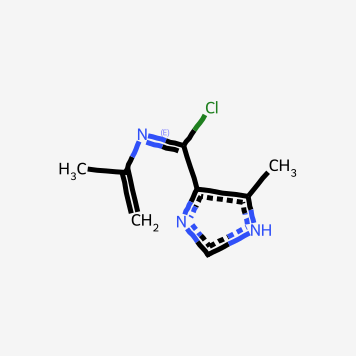 C=C(C)/N=C(/Cl)c1nc[nH]c1C